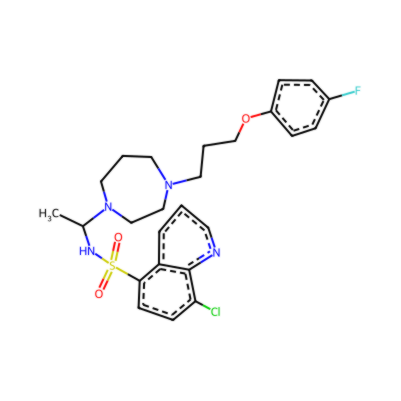 CC(NS(=O)(=O)c1ccc(Cl)c2ncccc12)N1CCCN(CCCOc2ccc(F)cc2)CC1